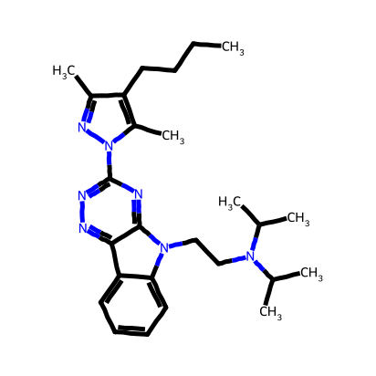 CCCCc1c(C)nn(-c2nnc3c4ccccc4n(CCN(C(C)C)C(C)C)c3n2)c1C